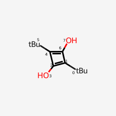 CC(C)(C)C1=C(O)C(C(C)(C)C)=C1O